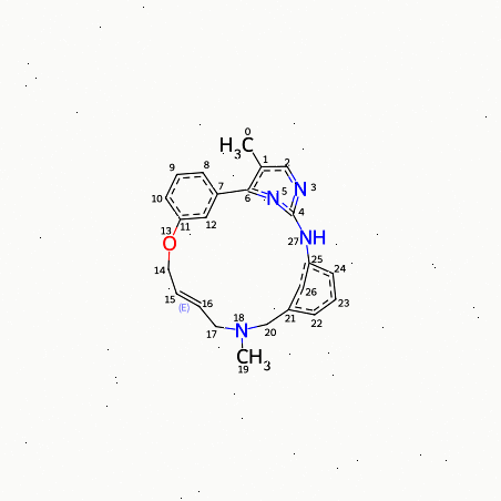 Cc1cnc2nc1-c1cccc(c1)OC/C=C/CN(C)Cc1cccc(c1)N2